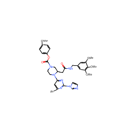 COc1ccc(OC(=O)N2CCN(c3cc(C(C)C)nc(-n4ccnc4)n3)C(CC(=O)NCc3cc(OC)c(OC)c(OC)c3)C2)cc1